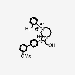 COc1cccc(-c2ccc([C@@H]3C(CO)N4CCCCN(S(=O)(=O)c5ccccc5C)C[C@@H]34)cc2)c1